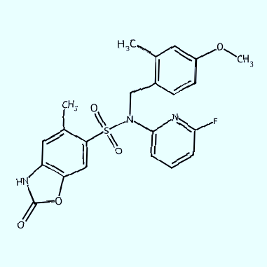 COc1ccc(CN(c2cccc(F)n2)S(=O)(=O)c2cc3oc(=O)[nH]c3cc2C)c(C)c1